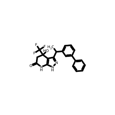 CC(c1cccc(-c2ccccc2)c1)c1n[nH]c2c1C(O)(C(F)(F)F)CC(=O)N2